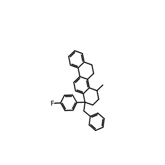 CC1CCC(Cc2ccccc2)(c2ccc(F)cc2)c2ccc3c(c21)CCc1ccccc1-3